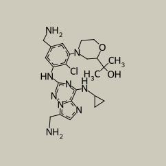 CC(C)(O)C1CN(c2cc(CN)cc(Nc3nc(NC4CC4)c4ncc(CN)n4n3)c2Cl)CCO1